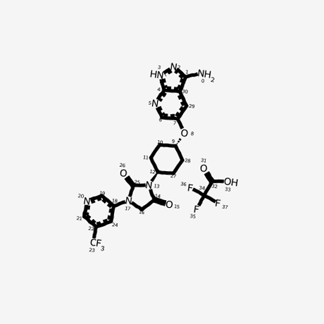 Nc1n[nH]c2ncc(O[C@H]3CC[C@H](N4C(=O)CN(c5cncc(C(F)(F)F)c5)C4=O)CC3)cc12.O=C(O)C(F)(F)F